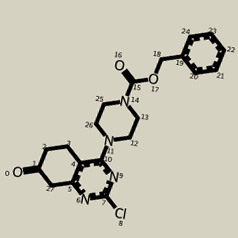 O=C1CCc2c(nc(Cl)nc2N2CCN(C(=O)OCc3ccccc3)CC2)C1